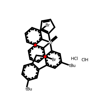 Cl.Cl.[CH2]=[Zr]([C]1=CC=CC1)([c]1ccccc1Br)([c]1ccccc1Br)[c]1cc(C(C)(C)C)cc2c1Cc1ccc(C(C)(C)C)cc1-2